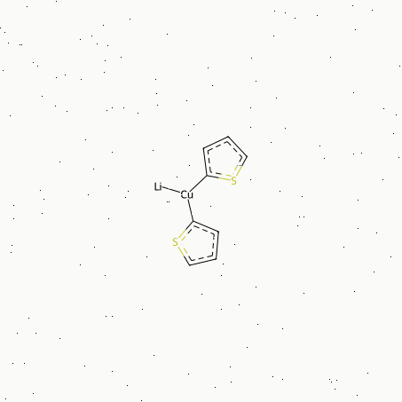 [Li][Cu]([c]1cccs1)[c]1cccs1